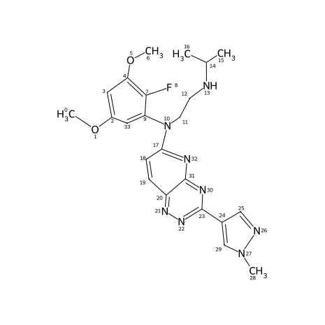 COc1cc(OC)c(F)c(N(CCNC(C)C)c2ccc3nnc(-c4cnn(C)c4)nc3n2)c1